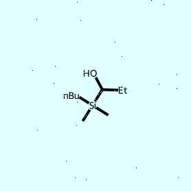 CCCC[Si](C)(C)C(O)CC